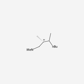 CCCCC(C)[C@@H](C)CNC